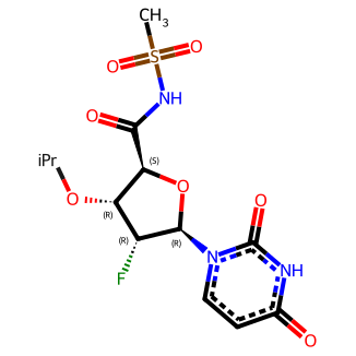 CC(C)O[C@H]1[C@@H](F)[C@H](n2ccc(=O)[nH]c2=O)O[C@@H]1C(=O)NS(C)(=O)=O